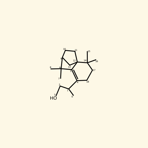 CC(CO)C1=C2C(C)(C)C3CCC2(C3)C(C)(C)CC1